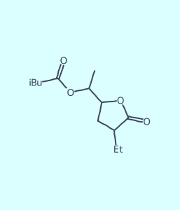 CCC(C)C(=O)OC(C)C1CC(CC)C(=O)O1